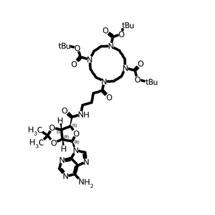 CC(C)(C)OC(=O)N1CCN(C(=O)CCCNC(=O)[C@H]2O[C@@H](n3cnc4c(N)ncnc43)[C@@H]3OC(C)(C)O[C@@H]32)CCN(C(=O)OC(C)(C)C)CCN(C(=O)OC(C)(C)C)CC1